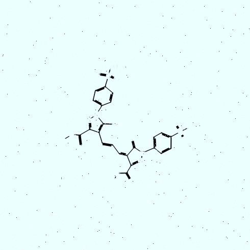 COC(=O)C1=NN(c2ccc(S(=O)(=O)O)cc2)C(=O)C1=CC=Cc1c(C(=O)OC)nn(-c2ccc(S(=O)(=O)O)cc2)c1O